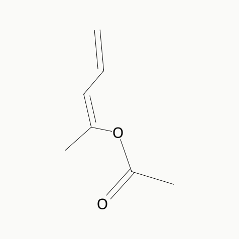 C=CC=C(C)OC(C)=O